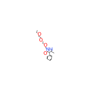 CCOCCOCCOCNC(=O)C(c1ccccc1)C(C)C